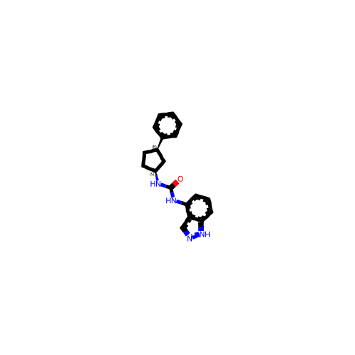 O=C(Nc1cccc2[nH]ncc12)N[C@H]1CC[C@@H](c2ccccc2)C1